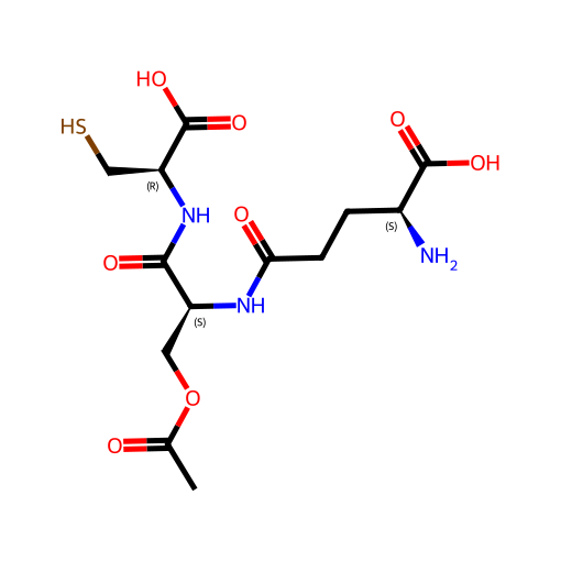 CC(=O)OC[C@H](NC(=O)CC[C@H](N)C(=O)O)C(=O)N[C@@H](CS)C(=O)O